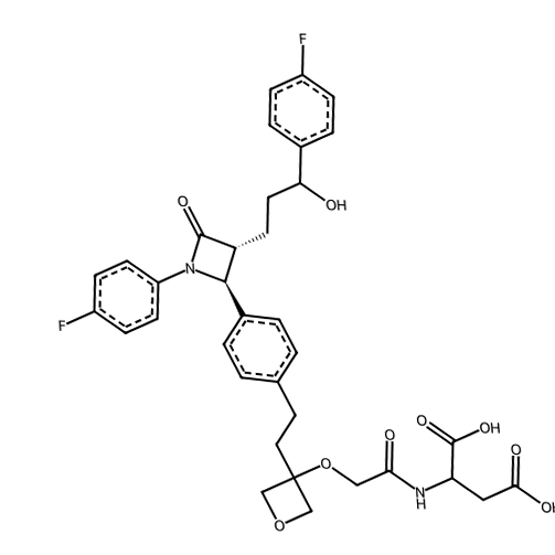 O=C(O)CC(NC(=O)COC1(CCc2ccc([C@@H]3[C@@H](CCC(O)c4ccc(F)cc4)C(=O)N3c3ccc(F)cc3)cc2)COC1)C(=O)O